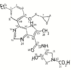 CCc1ccc(OCC2CC2)c(-c2ncnc3c(C(=O)N[C@@H]4CN(C(=O)O)C[C@H]4O)c(C)[nH]c23)c1